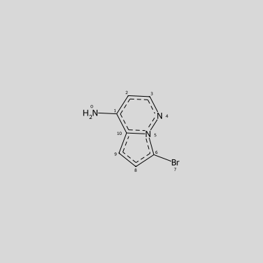 Nc1ccnn2c(Br)ccc12